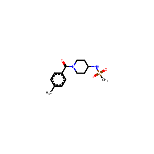 Cc1ccc(C(=O)N2CCC(NS(C)(=O)=O)CC2)cc1